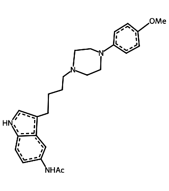 COc1ccc(N2CCN(CCCCc3c[nH]c4ccc(NC(C)=O)cc34)CC2)cc1